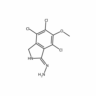 COc1c(Cl)c(Cl)c2c(c1Cl)C(=NN)NC2